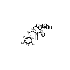 CC(C)(C)OC(=O)NC(CC=O)Cc1ccccc1